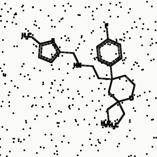 CCC1(CC)CC(CCNCc2ccc(C)s2)(c2ccc(F)cc2)CCO1